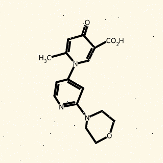 Cc1cc(=O)c(C(=O)O)cn1-c1ccnc(N2CCOCC2)c1